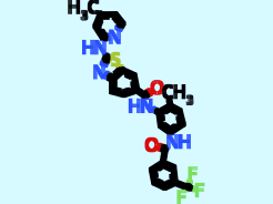 Cc1ccnc(Nc2nc3ccc(C(=O)Nc4cc(NC(=O)c5cccc(C(F)(F)F)c5)ccc4C)cc3s2)c1